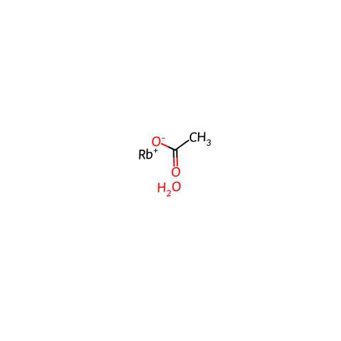 CC(=O)[O-].O.[Rb+]